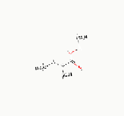 O=C(O)COC(=O)C(CC(=O)O)S(=O)(=O)O